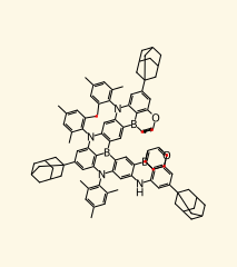 Cc1cc(C)c(N2c3cc4c(cc3B3c5ccccc5Oc5cc(C67CC8CC(CC(C8)C6)C7)cc2c53)B2c3cc5c(cc3N(c3c(C)cc(C)cc3C)c3cc(C67CC8CC(CC(C8)C6)C7)cc(c32)N4c2c(C)cc(C)cc2C)Nc2cc(C34CC6CC(CC(C6)C3)C4)cc3c2B5c2ccccc2O3)c(C)c1